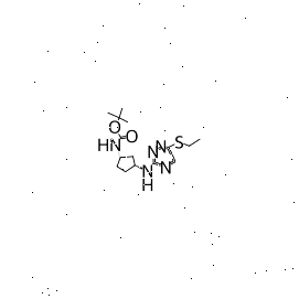 CCSc1cnc(N[C@H]2CC[C@H](NC(=O)OC(C)(C)C)C2)nn1